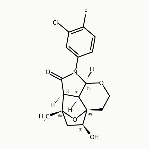 C[C@@]12C[C@H](O)[C@]3(CCO[C@H]4[C@@H]3[C@@H]1C(=O)N4c1ccc(F)c(Cl)c1)O2